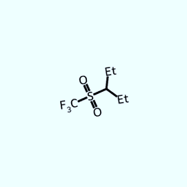 CCC(CC)S(=O)(=O)C(F)(F)F